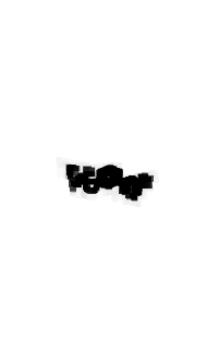 FC(F)(F)Oc1cccc(-c2cncc(Br)c2)c1